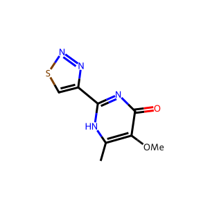 COc1c(C)[nH]c(-c2csnn2)nc1=O